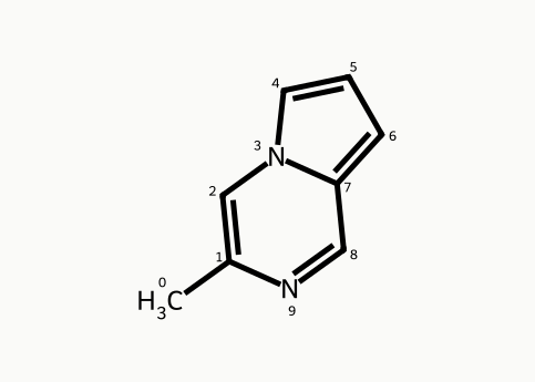 Cc1cn2cccc2cn1